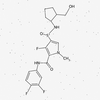 Cn1cc([S+]([O-])NC2CCCC2CO)c(F)c1C(=O)Nc1ccc(F)c(F)c1